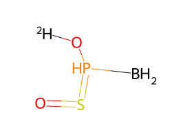 [2H]O[PH](B)=S=O